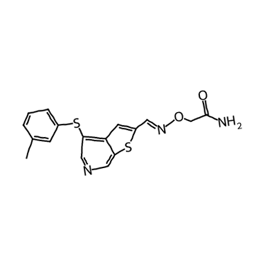 Cc1cccc(Sc2cncc3sc(C=NOCC(N)=O)cc23)c1